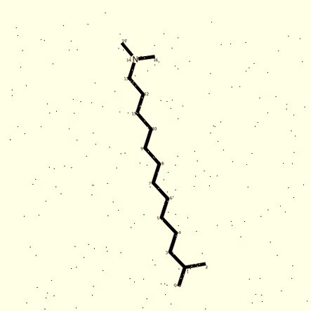 CC(C)CCCCCCCCCCCN(C)C